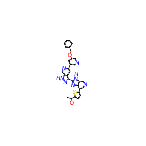 CC(=O)c1ccc(-c2cncc3[nH]c(-c4n[nH]c5cnc(-c6cncc(OCc7ccccc7)c6)cc45)nc23)s1